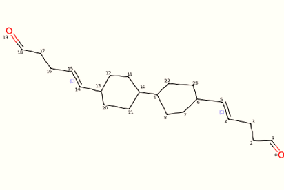 O=CCC/C=C/C1CCC(C2CCC(/C=C/CCC=O)CC2)CC1